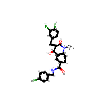 CN1C(=O)/C(=C\c2ccc(F)c(F)c2)C(=O)c2cc(C(=O)NCc3ccc(F)cc3)ccc21